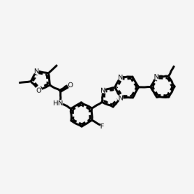 Cc1cccc(-c2cnc3nc(-c4cc(NC(=O)c5oc(C)nc5C)ccc4F)cn3c2)n1